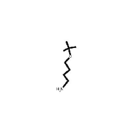 CC(C)(C)OCCCCN